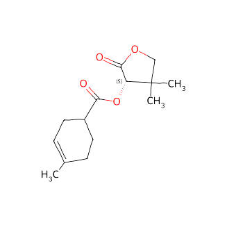 CC1=CCC(C(=O)O[C@@H]2C(=O)OCC2(C)C)CC1